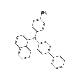 Bc1ccc(N(c2ccc(-c3ccccc3)cc2)c2cccc3ccccc23)cc1